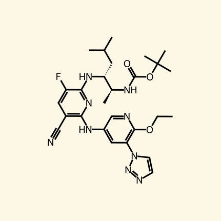 CCOc1ncc(Nc2nc(N[C@H](CC(C)C)[C@H](C)NC(=O)OC(C)(C)C)c(F)cc2C#N)cc1-n1ccnn1